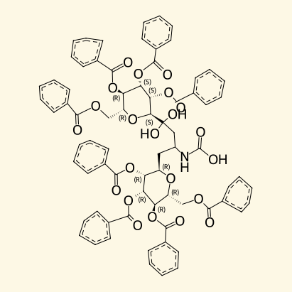 O=C(O)NC(C[C@H]1O[C@H](COC(=O)c2ccccc2)[C@@H](OC(=O)c2ccccc2)[C@H](OC(=O)c2ccccc2)[C@@H]1OC(=O)c1ccccc1)CC(O)(O)[C@H]1O[C@H](COC(=O)c2ccccc2)[C@@H](OC(=O)c2ccccc2)[C@H](OC(=O)c2ccccc2)[C@@H]1OC(=O)c1ccccc1